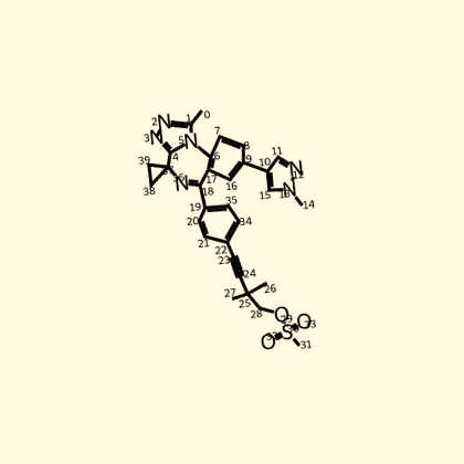 Cc1nnc2n1-c1ccc(-c3cnn(C)c3)cc1C(c1ccc(C#CC(C)(C)COS(C)(=O)=O)cc1)=NC21CC1